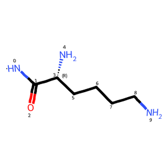 [NH]C(=O)[C@H](N)CCCCN